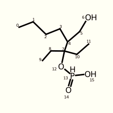 CCCCC(CO)C(CC)(CC)O[PH](=O)O